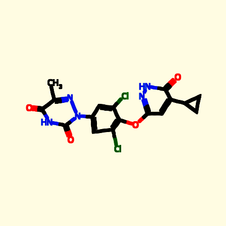 Cc1nn(-c2cc(Cl)c(Oc3cc(C4CC4)c(=O)[nH]n3)c(Cl)c2)c(=O)[nH]c1=O